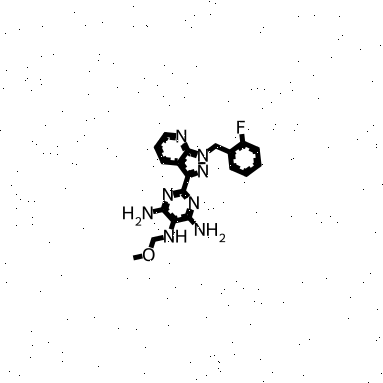 COCNc1c(N)nc(-c2nn(Cc3ccccc3F)c3ncccc23)nc1N